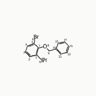 CC(C)c1cccc(Br)c1OCc1ccccc1